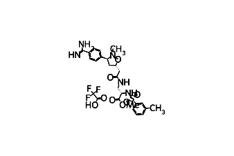 COC(=O)[C@H](CNC(=O)C[C@@H]1C[C@@H](c2ccc(C(=N)N)cc2)N(C)O1)NS(=O)(=O)c1cccc(C)c1.O=C(O)C(F)(F)F